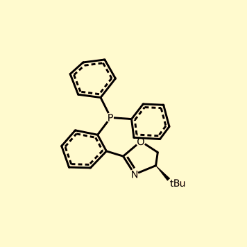 CC(C)(C)[C@@H]1COC(c2ccccc2P(c2ccccc2)c2ccccc2)=N1